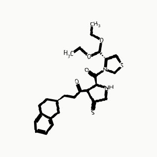 CCOC(OCC)[C@@H]1CSCN1C(=O)[C@H]1NCC(=S)C1C(=O)CC[C@@H]1CCc2ccccc2C1